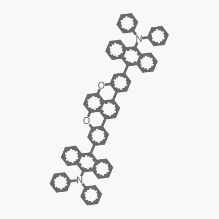 c1ccc(N(c2ccccc2)c2c3ccccc3c(-c3ccc4c(c3)Oc3ccc5c6c(ccc-4c36)-c3ccc(-c4c6ccccc6c(N(c6ccccc6)c6ccccc6)c6ccccc46)cc3O5)c3ccccc23)cc1